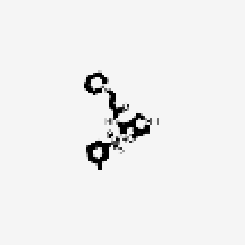 Cc1cccc(S(=O)(=O)n2nc3c(c2NC(=O)CCN2CCCCC2)CNC3)c1